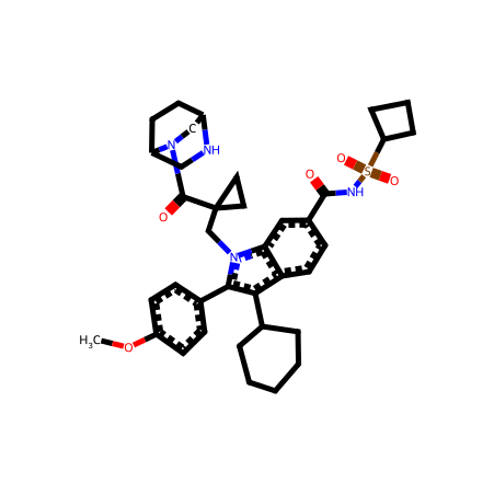 COc1ccc(-c2c(C3CCCCC3)c3ccc(C(=O)NS(=O)(=O)C4CCC4)cc3n2CC2(C(=O)N3CC4CCC3CN4)CC2)cc1